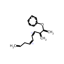 C=CC/C=C\C=C/C(=C)C(=C)Oc1ccccc1